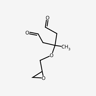 CC(CC=O)(CC=O)OCC1CO1